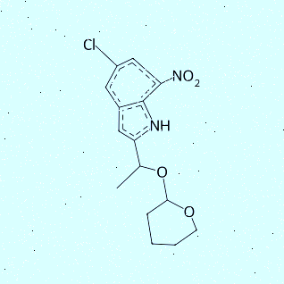 CC(OC1CCCCO1)c1cc2cc(Cl)cc([N+](=O)[O-])c2[nH]1